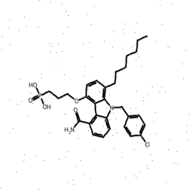 CCCCCCCc1ccc(OCCCP(=O)(O)O)c2c3c(C(N)=O)cccc3n(Cc3ccc(Cl)cc3)c12